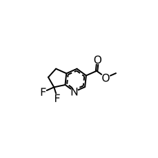 COC(=O)c1cnc2c(c1)CCC2(F)F